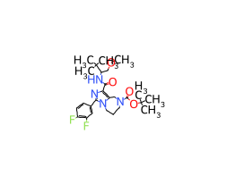 COCC(NC(=O)c1nc(-c2ccc(F)c(F)c2)n2c1CN(C(=O)OC(C)(C)C)CCC2)C(C)(C)C